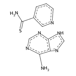 NC(=S)c1cccnc1.Nc1ncnc2[nH]cnc12